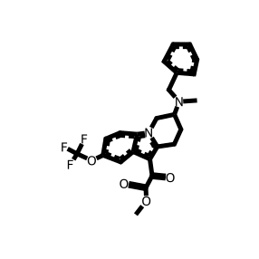 COC(=O)C(=O)c1c2n(c3ccc(OC(F)(F)F)cc13)CC(N(C)Cc1ccccc1)CC2